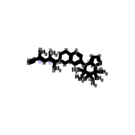 BC1(B)N(c2cnc3c(c2)CN(/C(N)=C(C)/C=C(\N)C#N)CC3)c2ccnn2C(B)(B)C1(B)B